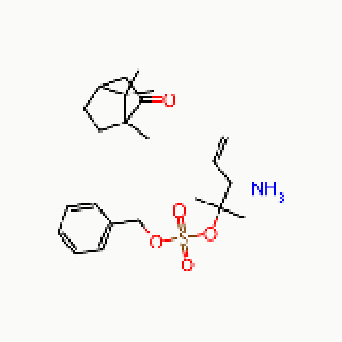 C=CCC(C)(C)OS(=O)(=O)OCc1ccccc1.CC12CCC(CC1=O)C2(C)C.N